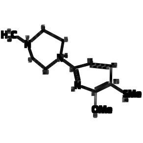 COc1nc(N2CCN(C)CC2)ccc1SC